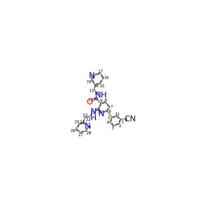 N#Cc1cccc(-c2ccc(C(=O)NCc3cccnc3)c(NCCc3ccccn3)n2)c1